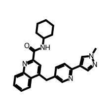 Cn1cc(-c2ccc(Cc3cc(C(=O)NC4CCCCC4)nc4ccccc34)cn2)cn1